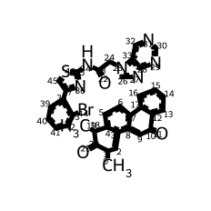 CC1C=c2c(ccc3c2=CC(=O)c2ccccc2-3)C(C)C1=O.O=C(Cn1cnc2ncncc21)Nc1nc(-c2ccccc2Br)cs1